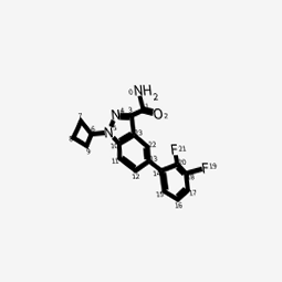 NC(=O)c1nn(C2CCC2)c2ccc(-c3cccc(F)c3F)cc12